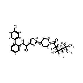 O=C(Nc1ccccc1-c1ccc(Cl)cc1)c1csc(C2CCN(C(=O)C(F)(F)C(F)(C(F)(F)F)C(F)(F)C(C(F)(F)F)(C(F)(F)F)C(F)(F)F)CC2)n1